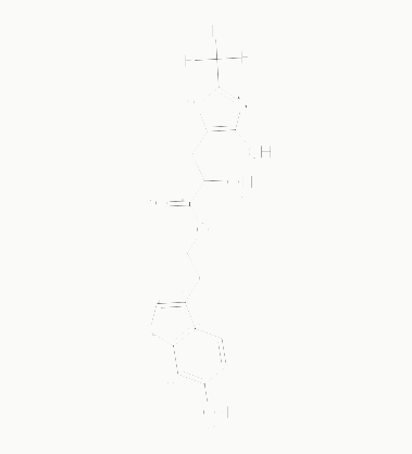 Cc1nc(C(F)(F)F)sc1CC(O)C(=O)OCCc1csc2cc(O)ccc12